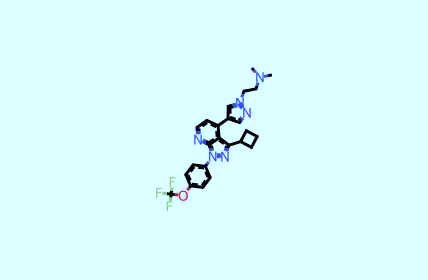 CN(C)CCn1cc(-c2ccnc3c2c(C2CCC2)nn3-c2ccc(OC(F)(F)F)cc2)cn1